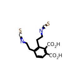 O=C(O)c1ccc(CCN=C=S)c(CCN=C=S)c1C(=O)O